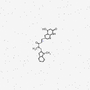 CN(Cc1cc2ccccc2n1C)C(=O)/C=C/c1cnc2[nH]c(=O)cc(O)c2c1